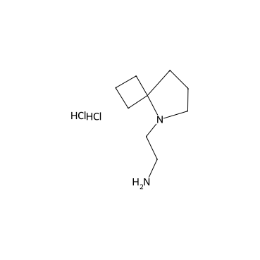 Cl.Cl.NCCN1CCCC12CCC2